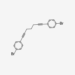 Brc1ccc(C#CCCCC#Cc2ccc(Br)cc2)cc1